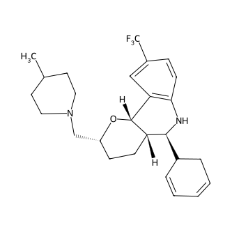 CC1CCN(C[C@H]2CC[C@@H]3[C@H](O2)c2cc(C(F)(F)F)ccc2N[C@H]3C2C=CC=CC2)CC1